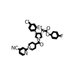 CCN(C(=O)OC1C=CC(F)=CC1)[C@@H]1CN(C(=O)C2CCN(c3cc(C#N)ccn3)CC2)C[C@H]1c1ccc(Cl)cc1